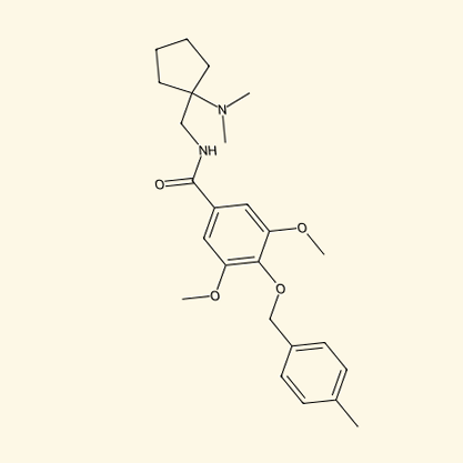 COc1cc(C(=O)NCC2(N(C)C)CCCC2)cc(OC)c1OCc1ccc(C)cc1